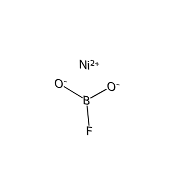 [Ni+2].[O-]B([O-])F